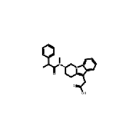 CC(C(=O)N(C)[C@@H]1CCc2c(CC(=O)O)c3ccccc3n2C1)c1ccccc1